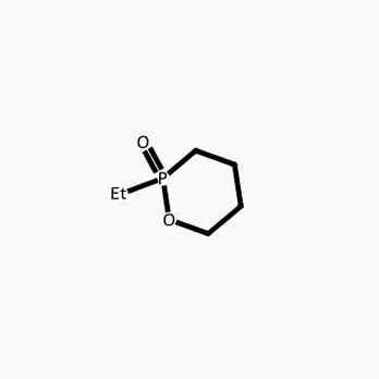 CCP1(=O)CCCCO1